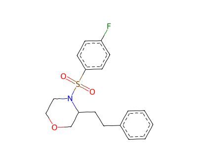 O=S(=O)(c1ccc(F)cc1)N1CCOCC1CCc1ccccc1